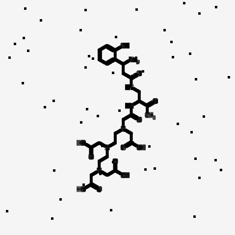 CC(=O)C(CNC(=O)CC(N)c1ccccc1O)NC(=O)CN(CCN(CCN(CC(=O)O)CC(=O)O)CC(=O)O)CC(=O)O